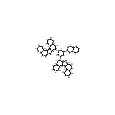 c1ccc2cc(-c3cc(-c4cc5ccccc5c5c4oc4ccc6ccccc6c45)cc(-c4cc5ccccc5c5c4oc4ccc6ccccc6c45)c3)ccc2c1